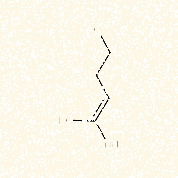 C/C(N)=C\CCO